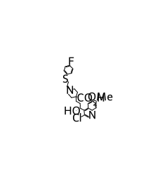 COc1ccc2ncc(Cl)c([C@H](O)CCC3(C(=O)O)CCN(CCSc4ccc(F)cc4)CC3)c2c1